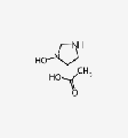 CC(=O)O.ON1CCNC1